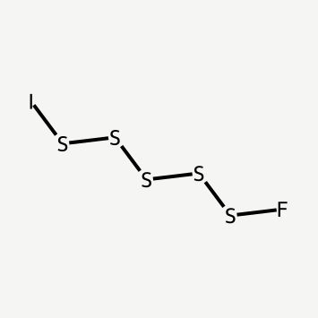 FSSSSSI